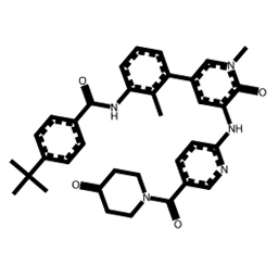 Cc1c(NC(=O)c2ccc(C(C)(C)C)cc2)cccc1-c1cc(Nc2ccc(C(=O)N3CCC(=O)CC3)cn2)c(=O)n(C)c1